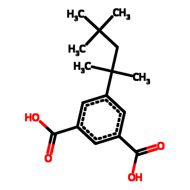 CC(C)(C)CC(C)(C)c1cc(C(=O)O)cc(C(=O)O)c1